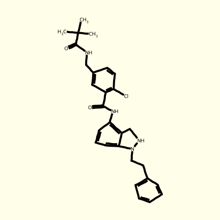 CC(C)(C)C(=O)NCc1ccc(Cl)c(C(=O)Nc2cccc3c2CNN3CCc2ccccc2)c1